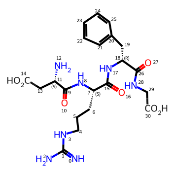 N=C(N)NCCC[C@H](NC(=O)[C@@H](N)CC(=O)O)C(=O)N[C@H](Cc1ccccc1)C(=O)NCC(=O)O